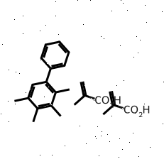 C=C(C)C(=O)O.C=C(C)C(=O)O.Cc1cc(-c2ccccc2)c(C)c(C)c1C